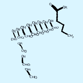 CCCCC(=O)O.O=CO.O=CO.O=CO.O=CO.O=CO.O=CO.O=CO.O=CO.O=CO.O=CO.O=CO